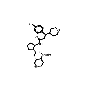 CCC[S+]([O-])N1CCNC[C@@H]1CC[C@H]1CCCC1NC(=O)CC(c1ccc(Cl)cc1)C1CCOCC1